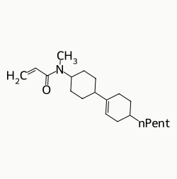 C=CC(=O)N(C)C1CCC(C2=CCC(CCCCC)CC2)CC1